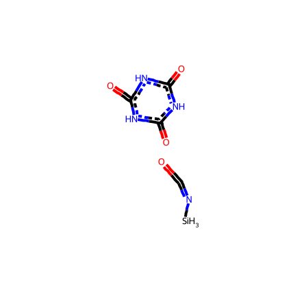 O=C=N[SiH3].O=c1[nH]c(=O)[nH]c(=O)[nH]1